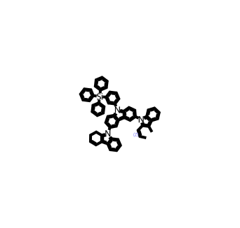 C/C=C\c1c(C)c2ccccc2n1-c1ccc2c(c1)c1cc(-n3c4c(c5ccccc53)C=CCC4)ccc1n2-c1cccc([Si](c2ccccc2)(c2ccccc2)c2ccccc2)c1